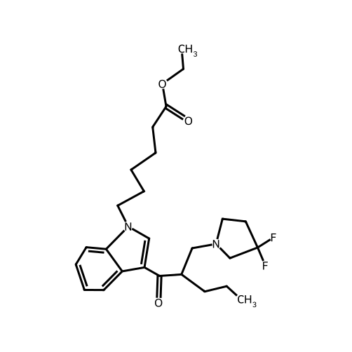 CCCC(CN1CCC(F)(F)C1)C(=O)c1cn(CCCCCC(=O)OCC)c2ccccc12